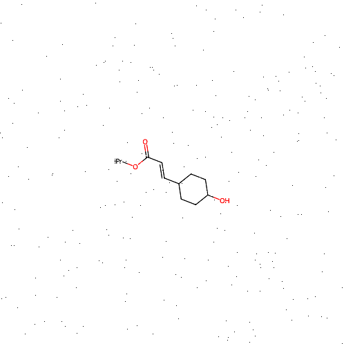 CC(C)OC(=O)C=CC1CCC(O)CC1